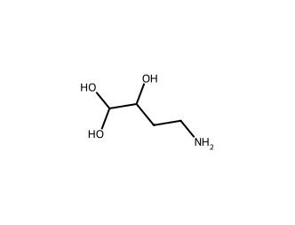 NCCC(O)C(O)O